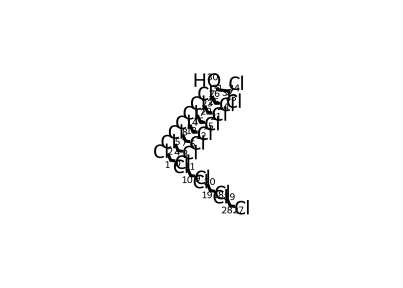 ClCCl.ClCCl.ClCCl.ClCCl.ClCCl.ClCCl.ClCCl.ClCCl.ClCCl.ClCCl.OCC(Cl)Cl